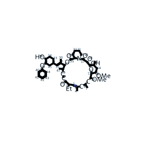 CCC1/C=C(\C)CC(C)CC(OC)C2OC(O)(C(=O)C(=O)N3CCCCC3C(=O)OC(C(C)=CC3CCC(O)C(Oc4ccccc4)C3)C(C)CCC1=O)C(C)CC2OC